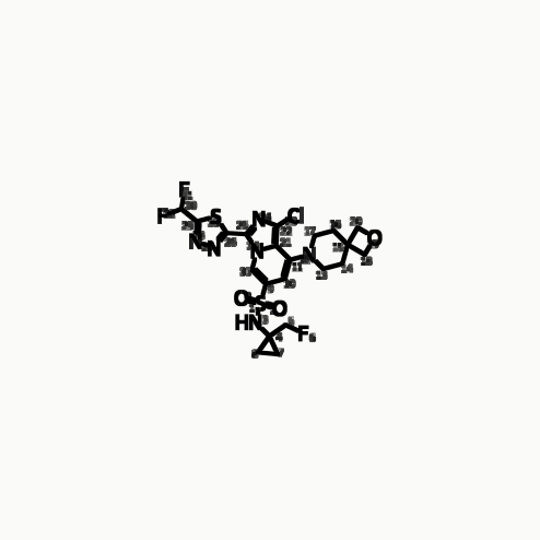 O=S(=O)(NC1(CF)CC1)c1cc(N2CCC3(CC2)COC3)c2c(Cl)nc(-c3nnc(C(F)F)s3)n2c1